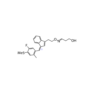 CSc1cc(C)c(/C=C2/C=C(CCON=CCCO)c3ccccc32)cc1F